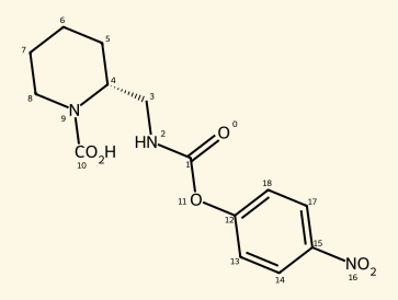 O=C(NC[C@H]1CCCCN1C(=O)O)Oc1ccc([N+](=O)[O-])cc1